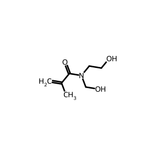 C=C(C)C(=O)N(CO)CCO